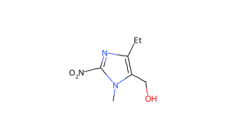 CCc1nc([N+](=O)[O-])n(C)c1CO